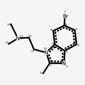 Cc1nc2ccc(Br)cc2n1CCN(C)C